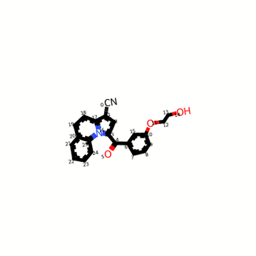 N#Cc1cc(C(=O)c2cccc(OCCO)c2)n2c1ccc1ccccc12